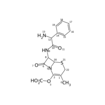 CC1=C(OC(=O)O)N2C(=O)C(NC(=O)C(N)c3ccccc3)C2SC1